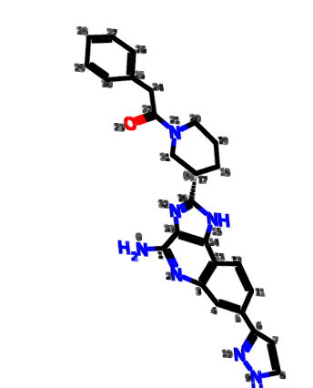 Nc1nc2cc(-c3cc[nH]n3)ccc2c2[nH]c([C@H]3CCCN(C(=O)Cc4ccccc4)C3)nc12